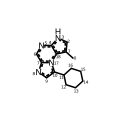 Cc1c[nH]c2ncc3ncc(C4CCCCC4)n3c12